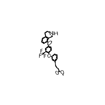 COC(=O)CCc1cccc(Oc2ccc(Oc3cccc4c3CNCC4)cc2C(F)(F)F)c1